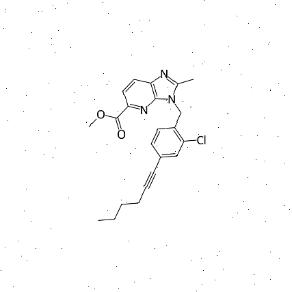 CCCCC#Cc1ccc(Cn2c(C)nc3ccc(C(=O)OC)nc32)c(Cl)c1